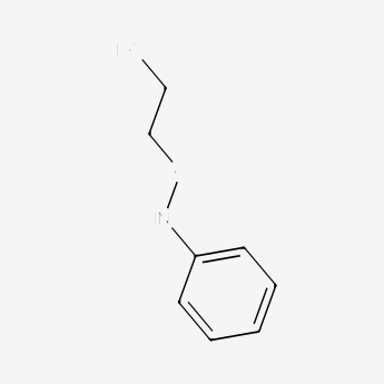 CCCONc1ccccc1